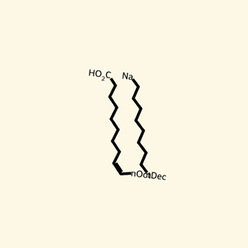 CCCCCCCC/C=C\CCCCCCCC(=O)O.CCCCCCCCCCCCCCCCC[CH2][Na]